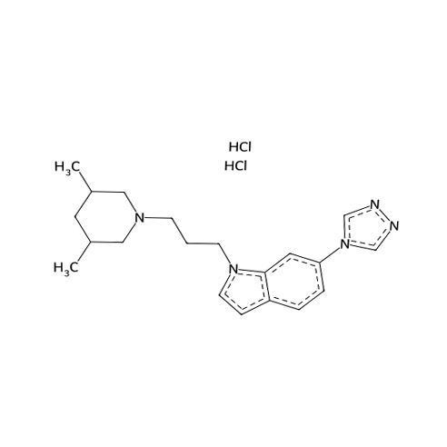 CC1CC(C)CN(CCCn2ccc3ccc(-n4cnnc4)cc32)C1.Cl.Cl